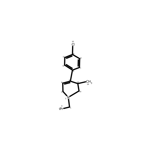 C[C](C)CN1CC=C(c2ccc(Cl)cc2)C(C)C1